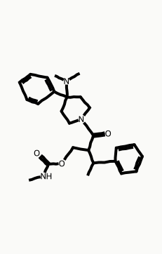 CNC(=O)OCC(C(=O)N1CCC(c2ccccc2)(N(C)C)CC1)C(C)c1ccccc1